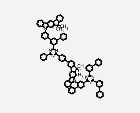 CC1(C)c2ccccc2-c2cc3c4ccccc4n(-c4cccc(-c5cc(-c6ccccc6)cc(-c6nc(-c7ccccc7)nc(-c7ccc(-c8ccc9c(c8)-c8cc%10c%11ccccc%11n(-c%11cc(-c%12nc(-c%13cccc(-c%14ccccc%14)c%13)nc(-c%13cccc(-c%14ccccc%14)c%13)n%12)ccc%11-c%11ccccc%11)c%10cc8C9(C)C)cc7)n6)c5)c4)c3cc21